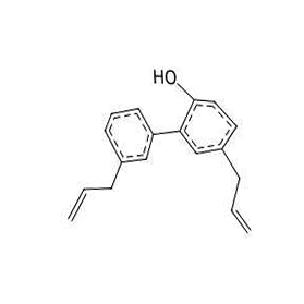 C=CCc1cccc(-c2cc(CC=C)ccc2O)c1